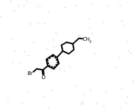 CCC1CCC(c2ccc(C(=O)CBr)cc2)CC1